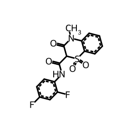 CN1C(=O)C(C(=O)Nc2ccc(F)cc2F)S(=O)(=O)c2ccccc21